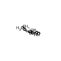 CN(C)c1ccc(CNCCOc2ccc(-c3ccc4c(c3)NCCC4)nc2C(=O)O)cc1